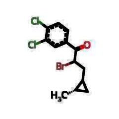 C[C@H]1CC1CC(Br)C(=O)c1ccc(Cl)c(Cl)c1